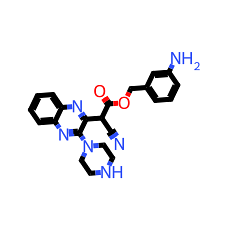 N#CC(C(=O)OCc1cccc(N)c1)c1nc2ccccc2nc1N1CCNCC1